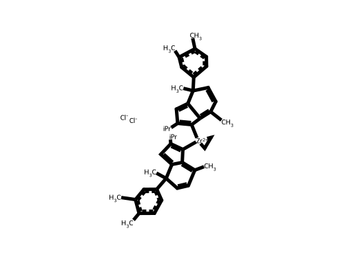 CC1=C2C(=CC(C(C)C)=[C]2[Zr+2]2([C]3=C(C(C)C)C=C4C3=C(C)C=CC4(C)c3ccc(C)c(C)c3)[CH2][CH2]2)C(C)(c2ccc(C)c(C)c2)C=C1.[Cl-].[Cl-]